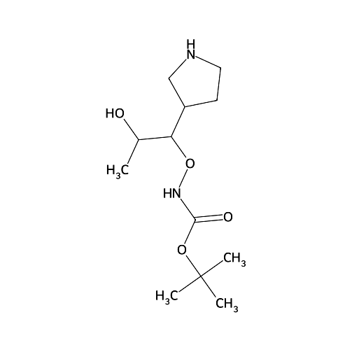 CC(O)C(ONC(=O)OC(C)(C)C)C1CCNC1